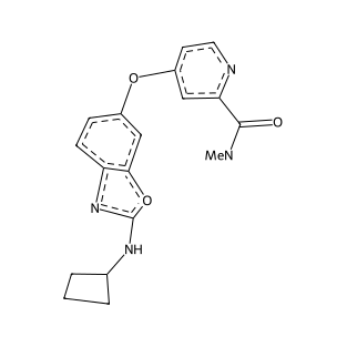 CNC(=O)c1cc(Oc2ccc3nc(NC4CCC4)oc3c2)ccn1